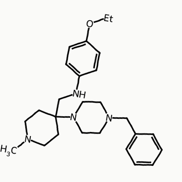 CCOc1ccc(NCC2(N3CCN(Cc4ccccc4)CC3)CCN(C)CC2)cc1